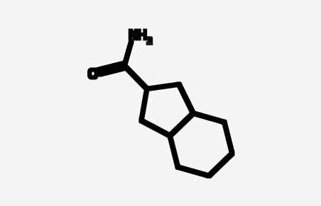 NC(=O)C1CC2CCCCC2C1